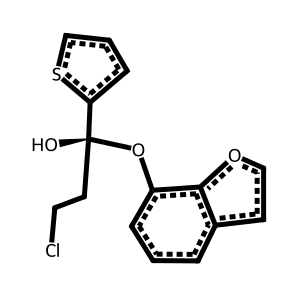 O[C@](CCCl)(Oc1cccc2ccoc12)c1cccs1